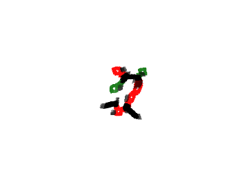 CCOC(C)=O.O=C(Cl)C(=O)Cl